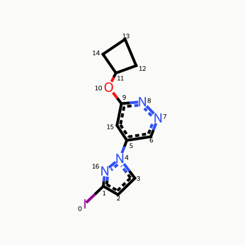 Ic1ccn(-c2cnnc(OC3CCC3)c2)n1